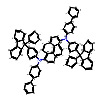 c1ccc(-c2ccc(N(c3ccc(C4(c5ccccc5)c5ccccc5-c5ccccc54)cc3)c3ccc4ccc5c(N(c6ccc(-c7ccccc7)cc6)c6ccc(C7(c8ccccc8)c8ccccc8-c8ccccc87)cc6)ccc6ccc3c4c65)cc2)cc1